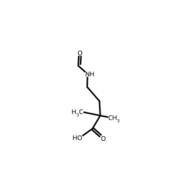 CC(C)(CCNC=O)C(=O)O